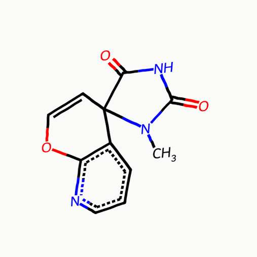 CN1C(=O)NC(=O)C12C=COc1ncccc12